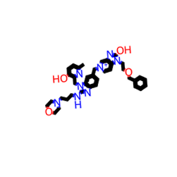 Cc1ccc(O)c(Cn2c(NCCCN3CCOCC3)nc3ccc(C[n+]4ccc5c(c4)nc(O)n5CCOCc4ccccc4)cc32)n1